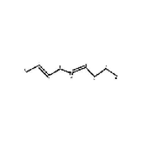 CC=CCN=CCCC